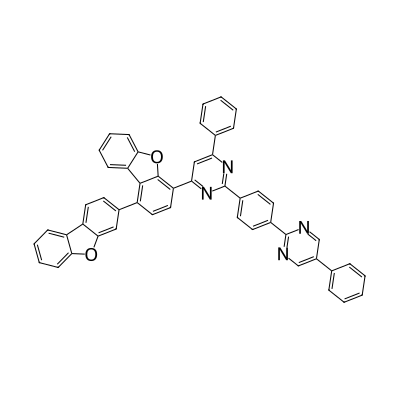 c1ccc(-c2cnc(-c3ccc(-c4nc(-c5ccccc5)cc(-c5ccc(-c6ccc7c(c6)oc6ccccc67)c6c5oc5ccccc56)n4)cc3)nc2)cc1